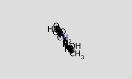 C=C1CN(C2CCC(=O)NC2=O)C(=O)/C1=C/C=C/C1CCN(Cc2cc(O)n3nc(C)cc3n2)CC1